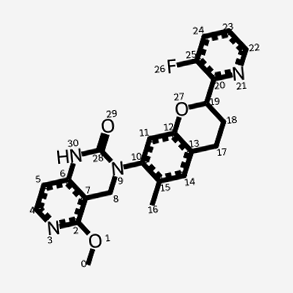 COc1nccc2c1CN(c1cc3c(cc1C)CCC(c1ncccc1F)O3)C(=O)N2